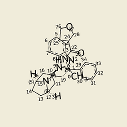 Cc1nc2ccccc2n1[C@H]1C[C@H]2CC[C@@H](C1)N2CC[C@H](NC(=O)C1CCOC1)c1ccccc1